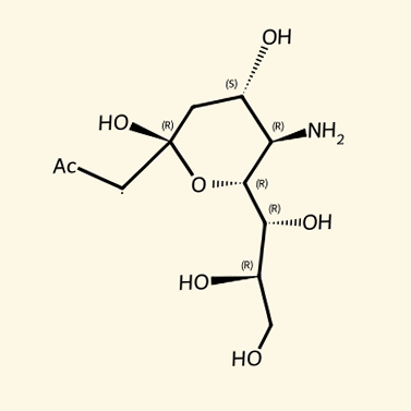 CC(=O)[CH][C@]1(O)C[C@H](O)[C@@H](N)[C@H]([C@H](O)[C@H](O)CO)O1